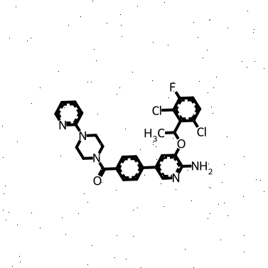 CC(Oc1cc(-c2ccc(C(=O)N3CCN(c4ccccn4)CC3)cc2)cnc1N)c1c(Cl)ccc(F)c1Cl